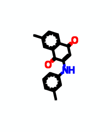 Cc1cccc(NC2=CC(=O)c3ccc(C)cc3C2=O)c1